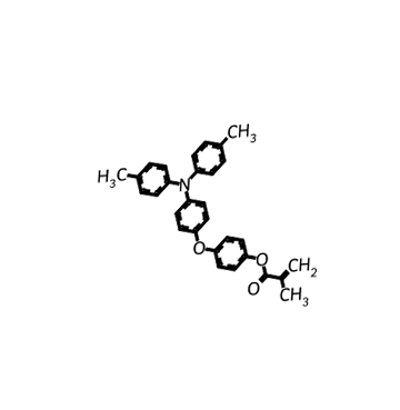 C=C(C)C(=O)Oc1ccc(Oc2ccc(N(c3ccc(C)cc3)c3ccc(C)cc3)cc2)cc1